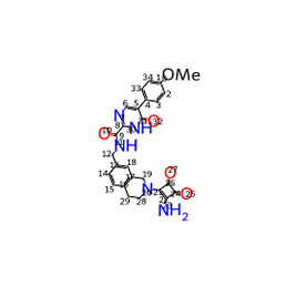 COc1ccc(-c2cnc(C(=O)NCc3ccc4c(c3)CN(c3c(N)c(=O)c3=O)CC4)[nH]c2=O)cc1